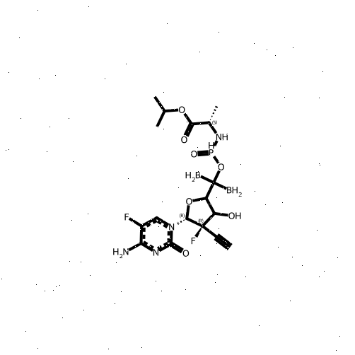 BC(B)(O[PH](=O)N[C@@H](C)C(=O)OC(C)C)C1O[C@@H](n2cc(F)c(N)nc2=O)[C@@](F)(C#C)C1O